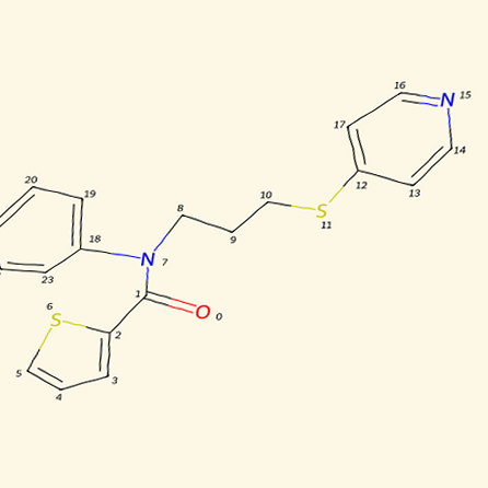 O=C(c1cccs1)N(CCCSc1ccncc1)c1ccccc1